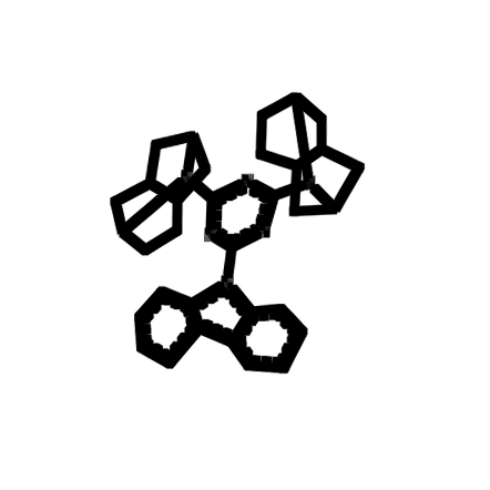 c1ccc2c(c1)c1ccccc1n2-c1nc(N2C3CCC4CC2CC4C3)nc(N2C3CCC4CC2CC4C3)n1